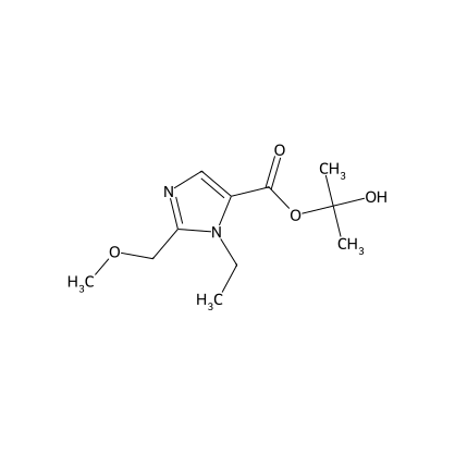 CCn1c(C(=O)OC(C)(C)O)cnc1COC